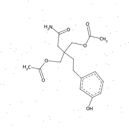 CC(=O)OCC(CCc1cccc(O)c1)(COC(C)=O)CC(N)=O